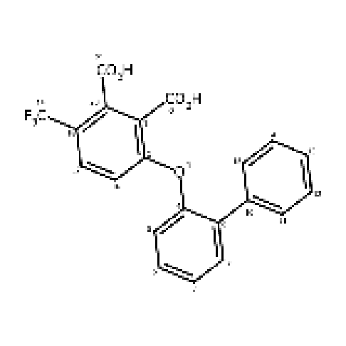 O=C(O)c1c(Oc2ccccc2-c2ccccc2)ccc(C(F)(F)F)c1C(=O)O